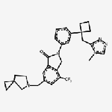 Cn1cnnc1CC1(c2cccc(N3Cc4c(cc(CN5CCC6(CC6)C5)cc4C(F)(F)F)C3=O)c2)CCC1